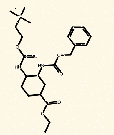 CCOC(=O)C1CCC(NC(=O)OCC[Si](C)(C)C)C(NC(=O)OCc2ccccc2)C1